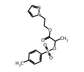 Cc1ccc(S(=O)(=O)OC(C)C(=O)OCCn2cccn2)cc1